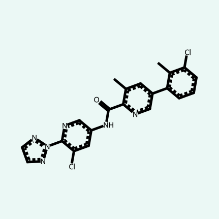 Cc1cc(-c2cccc(Cl)c2C)cnc1C(=O)Nc1cnc(-n2nccn2)c(Cl)c1